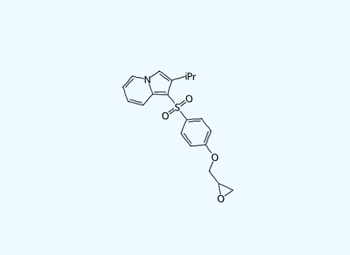 CC(C)c1cn2ccccc2c1S(=O)(=O)c1ccc(OCC2CO2)cc1